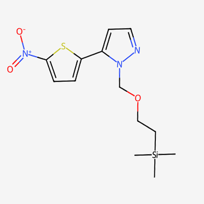 C[Si](C)(C)CCOCn1nccc1-c1ccc([N+](=O)[O-])s1